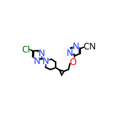 N#Cc1cc(OCCC2CC2C2CCN(c3ncc(Cl)cn3)CC2)ncn1